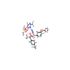 CC(C)[C@H](C(=O)OC(C#N)c1cccc(Oc2ccccc2)c1)c1ccc(OC(F)F)cc1.CCOP(=S)(OCC)Oc1cc(C)nc(C(C)C)n1